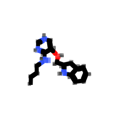 CCCCNc1ncncc1OCC1=Nc2ccccc2C1